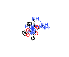 N=C(N)NCCC[C@H](NC(=O)[C@@H](N)CCCCN)C(=O)N[C@@H](Cc1ccccc1)CN(CC(=O)NCC12CC3CC(CC(C3)C1)C2)C(=O)CC12CC3CC(CC(C3)C1)C2